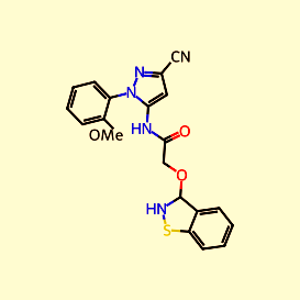 COc1ccccc1-n1nc(C#N)cc1NC(=O)COC1NSc2ccccc21